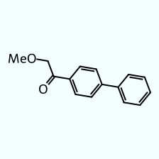 COCC(=O)c1ccc(-c2ccccc2)cc1